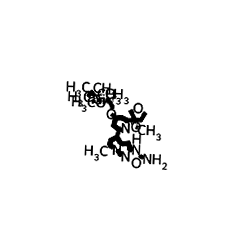 CO[C@@]1(c2cc(OC[C@@H](C)O[Si](C)(C)C(C)(C)C)cc(-c3cc(C)n4cnc(NC(N)=O)cc34)n2)CCOC1